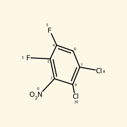 O=[N+]([O-])c1c(F)c(F)cc(Cl)c1Cl